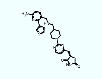 Nc1ccc(CNCC2CCN(c3nccc(/C=C4/SC(=O)NC4=O)n3)CC2)c(-c2ccsc2)n1